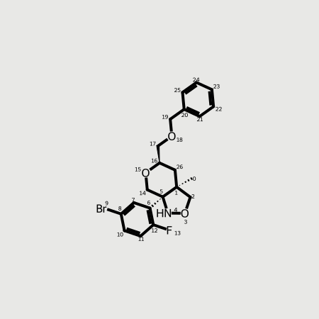 C[C@]12CON[C@@]1(c1cc(Br)ccc1F)CO[C@@H](COCc1ccccc1)C2